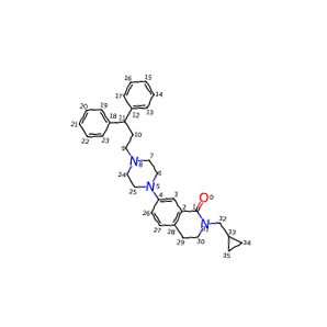 O=C1c2cc(N3CCN(CCC(c4ccccc4)c4ccccc4)CC3)ccc2CCN1CC1CC1